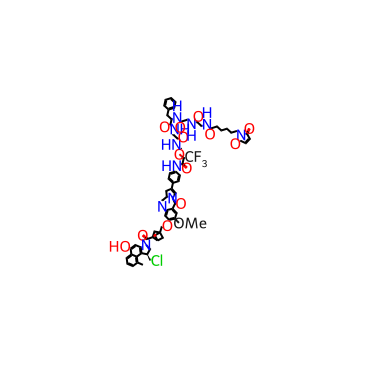 COc1cc2c(cc1OCC13CC(C1)C(C(=O)N1C[C@@H](CCl)c4c1cc(O)c1cccc(C)c41)C3)N=CC1CC(c3ccc(NC(=O)[C@@H](OCNC(=O)CNC(=O)C(Cc4ccccc4)NC(=O)CNC(=O)CNC(=O)CCCCCN4C(=O)C=CC4=O)C(F)(F)F)cc3)=CN1C2=O